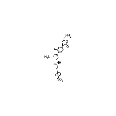 NCCN(CCNC(=O)/C=C/c1ccc([N+](=O)[O-])o1)c1ccc(N2C[C@H](CN)OC2=O)cc1F